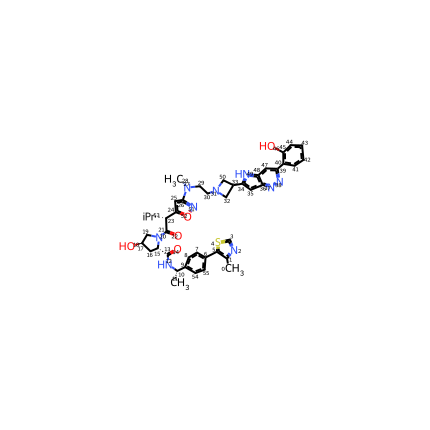 Cc1ncsc1-c1ccc([C@H](C)NC(=O)[C@@H]2C[C@@H](O)CN2C(=O)[C@@H](c2cc(N(C)CCN3CC(c4cc5nnc(-c6ccccc6O)cc5[nH]4)C3)no2)C(C)C)cc1